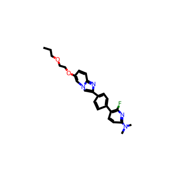 CCCOCCOc1ccc2nc(-c3ccc(-c4ccc(N(C)C)nc4F)cc3)cn2c1